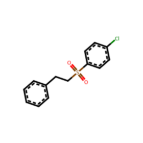 O=S(=O)(CCc1ccccc1)c1ccc(Cl)cc1